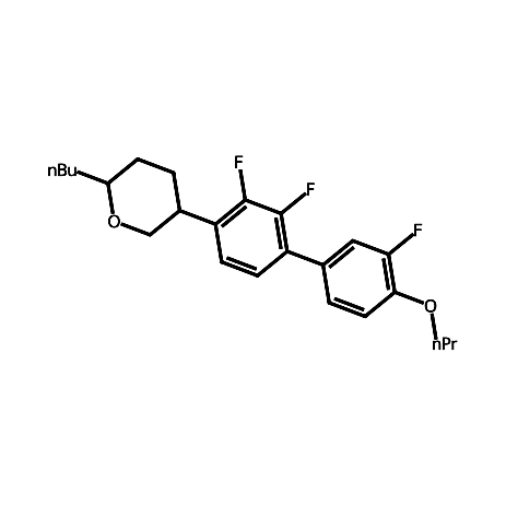 CCCCC1CCC(c2ccc(-c3ccc(OCCC)c(F)c3)c(F)c2F)CO1